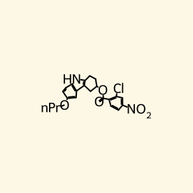 CCCOc1ccc2[nH]c3c(c2c1)CC(OC(=O)c1ccc([N+](=O)[O-])cc1Cl)CC3